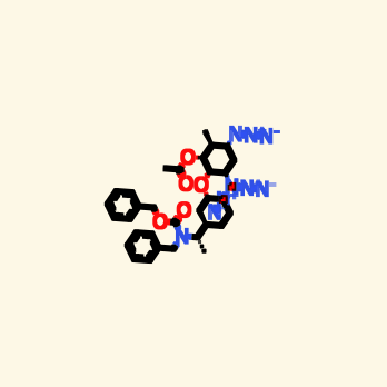 CC(=O)O[C@@H]1[C@@H](C)[C@H](N=[N+]=[N-])C[C@H](N=[N+]=[N-])[C@H]1O[C@H]1C[C@H]([C@H](C)N(Cc2ccccc2)C(=O)OCc2ccccc2)CCC1N=[N+]=[N-]